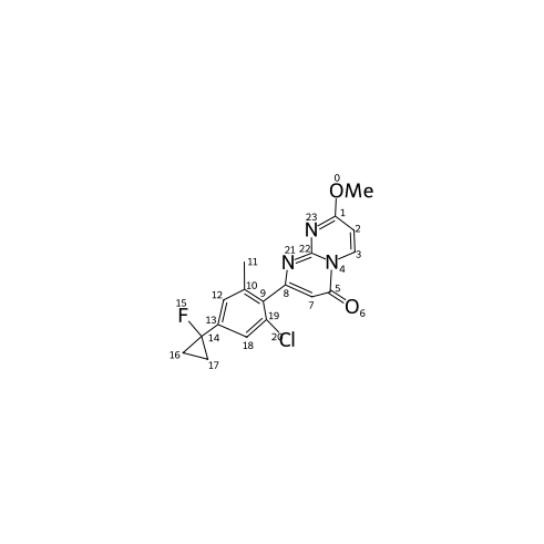 COc1ccn2c(=O)cc(-c3c(C)cc(C4(F)CC4)cc3Cl)nc2n1